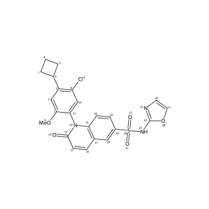 COc1cc(C2CCC2)c(Cl)cc1-n1c(=O)ccc2cc(S(=O)(=O)Nc3ncco3)ccc21